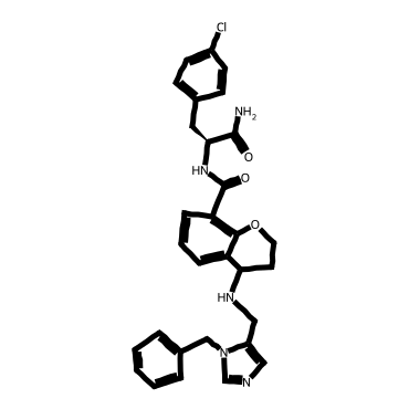 NC(=O)[C@H](Cc1ccc(Cl)cc1)NC(=O)c1cccc2c1OCCC2NCc1cncn1Cc1ccccc1